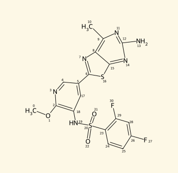 COc1ncc(-c2nc3c(C)nc(N)nc3s2)cc1NS(=O)(=O)c1ccc(F)cc1F